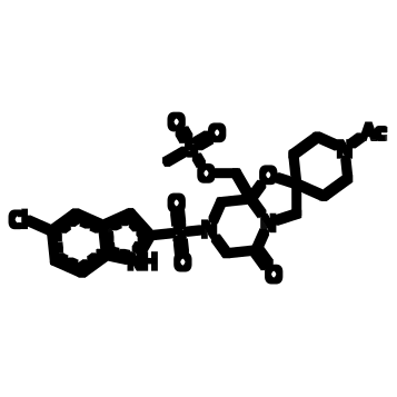 CC(=O)N1CCC2(CC1)CN1C(=O)CN(S(=O)(=O)c3cc4cc(Cl)ccc4[nH]3)CC1(COS(C)(=O)=O)O2